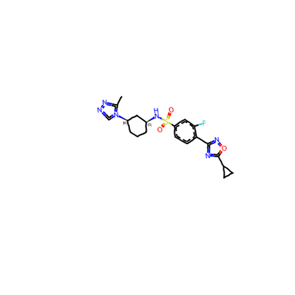 Cc1nncn1[C@@H]1CCC[C@H](NS(=O)(=O)c2ccc(-c3noc(C4CC4)n3)c(F)c2)C1